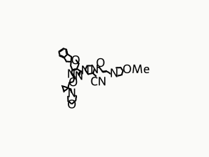 COC1CCN(CC=CC(=O)N2CCN(c3nc(OCC4(CN5CCOCC5)CC4)nc4c3COC3(Cc5ccccc5C3)C4)CC2CC#N)CC1